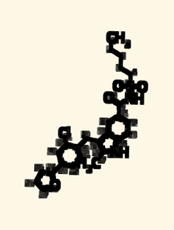 CCCCCS(=O)(=O)NC(=O)c1ccc2[nH]c(C)c(Cc3ccc(-c4ccco4)cc3Cl)c2c1